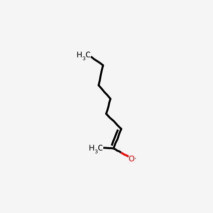 CCCCC/C=C(\C)[O]